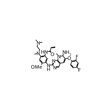 C=CC(=O)Nc1cc(Nc2ncc3c(n2)N(C)C(N)C(Oc2ccc(F)cc2F)=C3)c(OC)cc1N(C)CCN(C)C